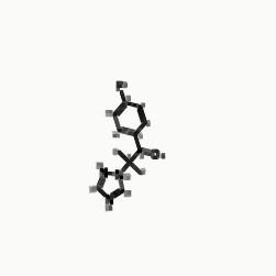 CC(C)(C(=O)c1ccc(F)cc1)n1cncn1